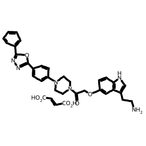 NCCc1c[nH]c2ccc(OCC(=O)N3CCN(c4ccc(-c5nnc(-c6ccccc6)o5)cc4)CC3)cc12.O=C(O)C=CC(=O)O